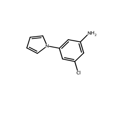 Nc1cc(Cl)cc(-n2cccc2)c1